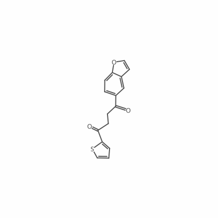 O=C(CCC(=O)c1cccs1)c1ccc2occc2c1